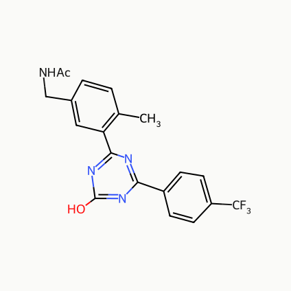 CC(=O)NCc1ccc(C)c(-c2nc(O)nc(-c3ccc(C(F)(F)F)cc3)n2)c1